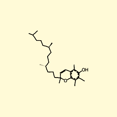 Cc1c(C)c2c(c(C)c1O)C=CC(C)(CCC[C@H](C)CCC[C@H](C)CCCC(C)C)O2